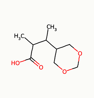 CC(C(=O)O)C(C)C1COCOC1